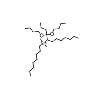 CCCCCCC[CH2][Sn]([CH3])([CH3])[CH](CCCCCCC)C(CCC)(OCCCC)OCCCC